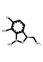 NC[C@H]1OB(O)c2c1ccc(Cl)c2O